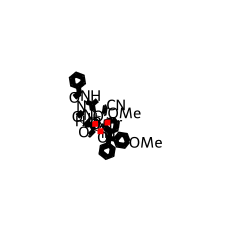 COc1ccc(C(OC[C@@]23CO[C@@H]([C@H](n4cc(C)c(NC(=O)c5ccccc5)nc4=O)O2)[C@@H]3P(OCCC#N)N(C(C)C)C(C)C)(c2ccccc2)c2ccc(OC)cc2)cc1